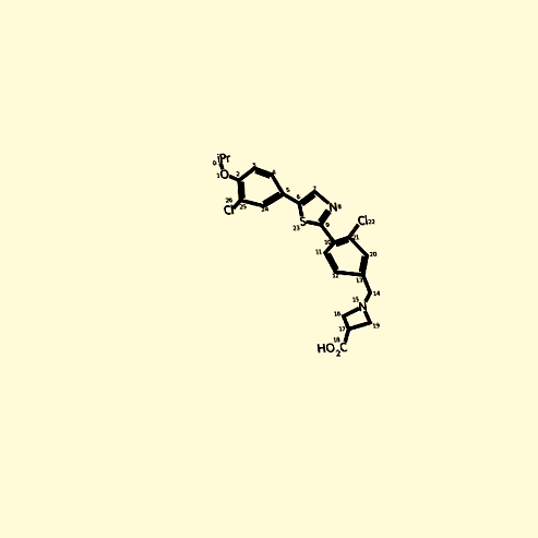 CC(C)Oc1ccc(-c2cnc(-c3ccc(CN4CC(C(=O)O)C4)cc3Cl)s2)cc1Cl